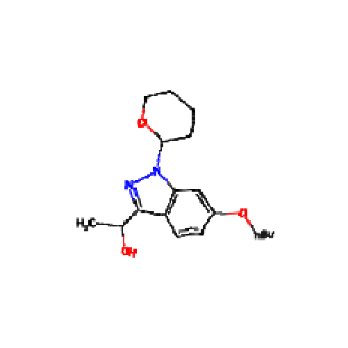 CCCCOc1ccc2c(C(C)O)nn(C3CCCCO3)c2c1